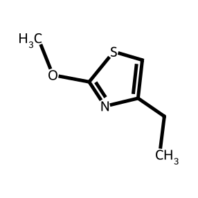 CCc1csc(OC)n1